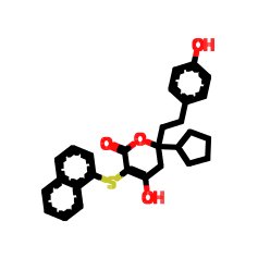 O=C1OC(CCc2ccc(O)cc2)(C2CCCC2)CC(O)=C1Sc1cccc2ccccc12